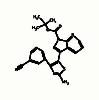 CC(C)(C)OC(=O)n1cc(-c2sc(N)nc2-c2cccc(C#N)c2)c2cccnc21